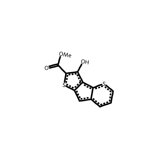 COC(=O)c1sc2cc3cccsc-3c2c1O